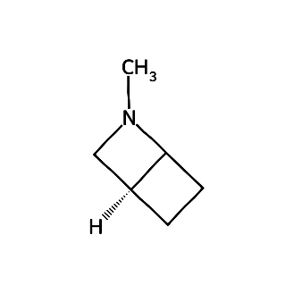 CN1C[C@@H]2CCC21